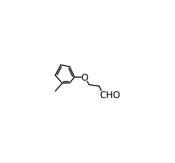 Cc1cccc(OCCC=O)c1